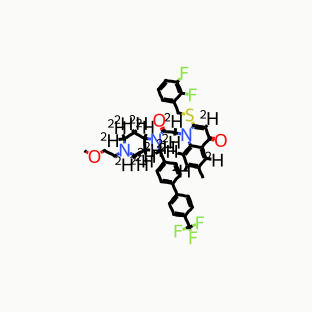 [2H]c1c(C)c([2H])c2c(=O)c([2H])c(SCc3cccc(F)c3F)n(C([2H])([2H])C(=O)N(C([2H])([2H])c3ccc(-c4ccc(C(F)(F)F)cc4)cc3)C3([2H])C([2H])([2H])C([2H])([2H])N(CCOC)C([2H])([2H])C3([2H])[2H])c2c1[2H]